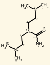 CN(C)CCN(CCN(C)C)C(N)=O